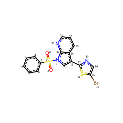 O=S(=O)(c1ccccc1)n1cc(-c2ncc(Br)s2)c2cccnc21